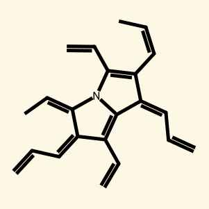 C=C/C=c1/c(C=C)c2/c(=C\C=C)c(/C=C\C)c(C=C)n2/c1=C/C